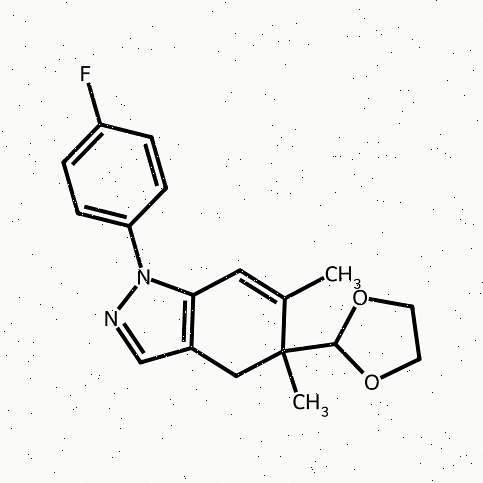 CC1=Cc2c(cnn2-c2ccc(F)cc2)CC1(C)C1OCCO1